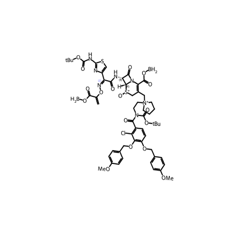 BOC(=O)C(=C)O/N=C(\C(=O)N[C@@H]1C(=O)N2C(C(=O)OB)=C(C[N+]3(CCN(C(=O)OC(C)(C)C)C(=O)c4ccc(OCc5ccc(OC)cc5)c(OCc5ccc(OC)cc5)c4Cl)CCCC3)C[S+]([O-])[C@H]12)c1csc(NC(=O)OC(C)(C)C)n1